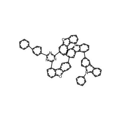 c1ccc(-c2ccc(-c3nc(-c4ccc5c(c4)oc4ccccc45)nc(-c4cccc5oc6ccc(-c7ccc8sc9cccc(-c%10ccc%11c(c%10)c%10ccccc%10n%11-c%10ccccc%10)c9c8c7)cc6c45)n3)cc2)cc1